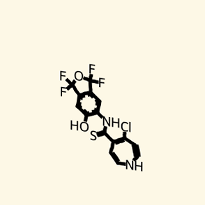 Oc1cc2c(cc1NC(=S)C1=C(Cl)C#CNC=C1)C(F)(F)OC2(F)F